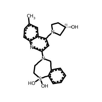 Cc1ccc2nc(N3CCS(O)(O)c4ccccc4C3)cc(N3CC[C@H](O)C3)c2c1